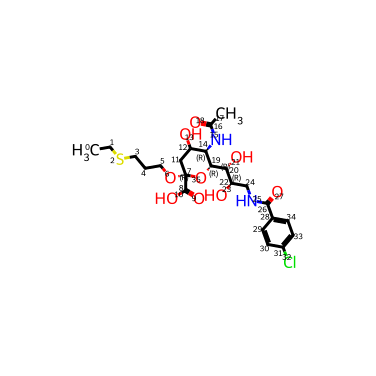 CCSCCCO[C@]1(C(=O)O)CC(O)[C@@H](NC(C)=O)[C@H]([C@H](O)[C@H](O)CNC(=O)c2ccc(Cl)cc2)O1